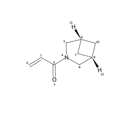 C=CC(=O)N1C[C@H]2C[C@@H](C1)C2